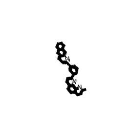 Cc1ccc2ccc3ccc(-c4cccc(-c5ccc6cc7ccccc7cc6n5)c4)nc3c2n1